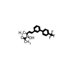 CC(=O)N(O)[C@@H](C)/C=C/c1cccc(-c2ccc(C(F)(F)F)cc2)c1